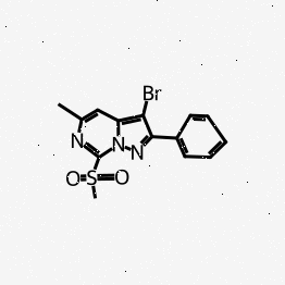 Cc1cc2c(Br)c(-c3ccccc3)nn2c(S(C)(=O)=O)n1